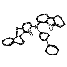 c1ccc(-c2ccc(N(c3ccc4sc5c6ccccc6ccc5c4n3)c3cccc4c3oc3ccccc34)cc2)cc1